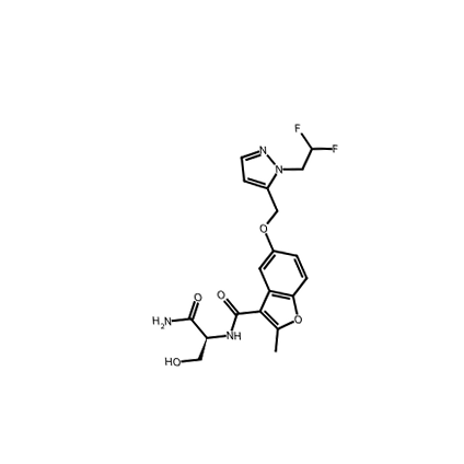 Cc1oc2ccc(OCc3ccnn3CC(F)F)cc2c1C(=O)N[C@@H](CO)C(N)=O